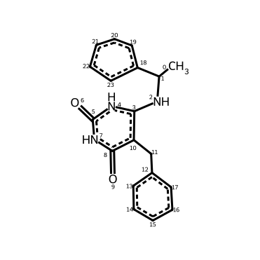 CC(Nc1[nH]c(=O)[nH]c(=O)c1Cc1ccccc1)c1ccccc1